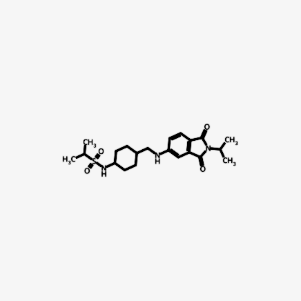 CC(C)N1C(=O)c2ccc(NCC3CCC(NS(=O)(=O)C(C)C)CC3)cc2C1=O